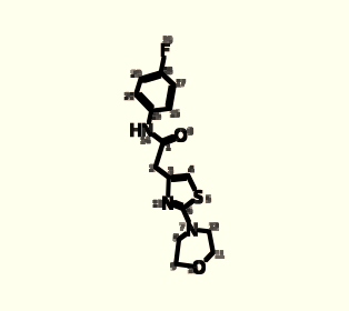 O=C(Cc1csc(N2CCOCC2)n1)Nc1ccc(F)cc1